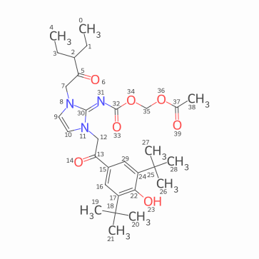 CCC(CC)C(=O)Cn1ccn(CC(=O)c2cc(C(C)(C)C)c(O)c(C(C)(C)C)c2)c1=NC(=O)OCOC(C)=O